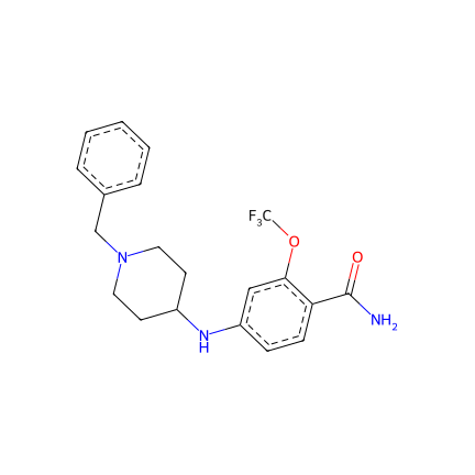 NC(=O)c1ccc(NC2CCN(Cc3ccccc3)CC2)cc1OC(F)(F)F